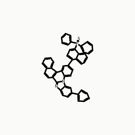 S=P(c1ccccc1)(c1ccccc1)c1ccc(-c2ccc3c(c2)c2c4ccccc4ccc2c2nc4ccc(-c5ccccc5)cc4n32)c2ccccc12